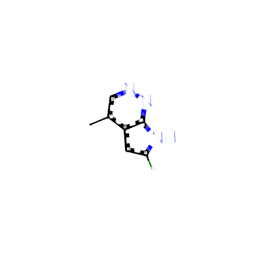 Cc1cnnc2[nH]c(F)cc12